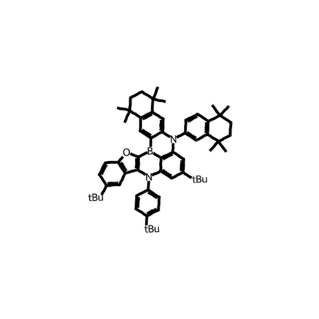 CC(C)(C)c1ccc(N2c3cc(C(C)(C)C)cc4c3B(c3cc5c(cc3N4c3ccc4c(c3)C(C)(C)CCC4(C)C)C(C)(C)CCC5(C)C)c3oc4ccc(C(C)(C)C)cc4c32)cc1